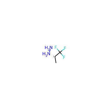 C[C]C(F)(F)F.NN